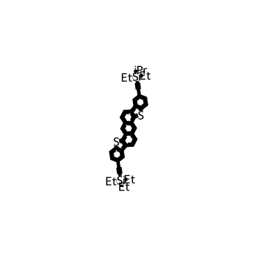 CC[Si](C#Cc1ccc2sc3c4cc5ccc6c7cc(C#C[Si](CC)(CC)C(C)C)ccc7sc6c5cc4ccc3c2c1)(CC)CC